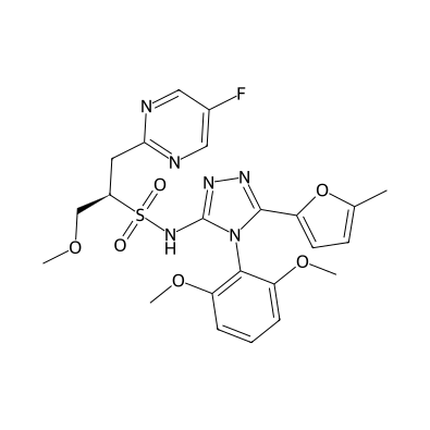 COC[C@@H](Cc1ncc(F)cn1)S(=O)(=O)Nc1nnc(-c2ccc(C)o2)n1-c1c(OC)cccc1OC